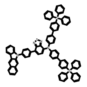 c1ccc(S(c2ccccc2)(c2ccccc2)c2ccc(-c3ccc(N(c4ccc(-c5ccc(S(c6ccccc6)(c6ccccc6)c6ccccc6)cc5)cc4)c4ccc(-c5ccc(-n6c7ccccc7c7cc8ccccc8cc76)cc5)c5nsnc45)cc3)cc2)cc1